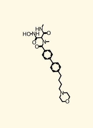 CNC(=O)C(C(=O)NO)N(C)C(=O)c1ccc(-c2ccc(CCCCN3CCOCC3)cc2)cc1